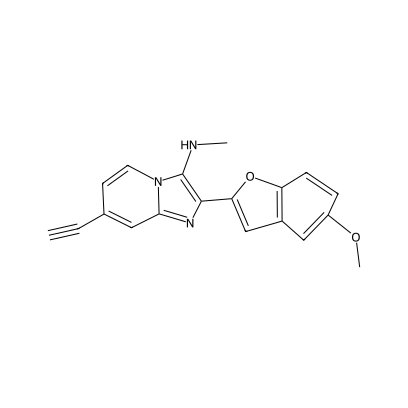 C#Cc1ccn2c(NC)c(-c3cc4cc(OC)ccc4o3)nc2c1